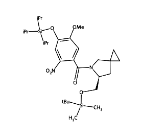 COc1cc(C(=O)N2CC3(CC3)C[C@H]2CO[Si](C)(C)C(C)(C)C)c([N+](=O)[O-])cc1O[Si](C(C)C)(C(C)C)C(C)C